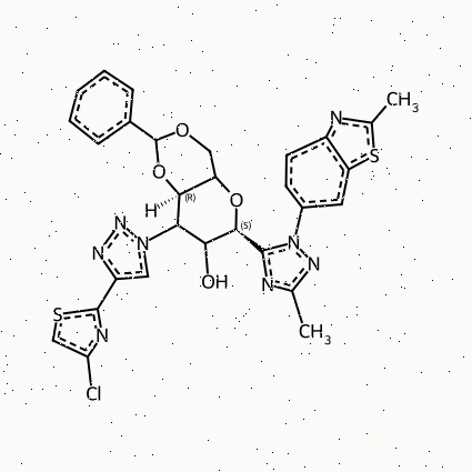 Cc1nc([C@@H]2OC3COC(c4ccccc4)O[C@@H]3C(n3cc(-c4nc(Cl)cs4)nn3)C2O)n(-c2ccc3nc(C)sc3c2)n1